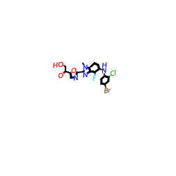 Cn1c(-c2ncc(C(=O)CO)o2)nc2c(F)c(Nc3ccc(Br)cc3Cl)ccc21